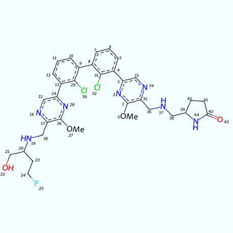 COc1nc(-c2cccc(-c3cccc(-c4cnc(CNC(CO)CCF)c(OC)n4)c3Cl)c2Cl)cnc1CNCC1CCC(=O)N1